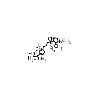 CCN1CCC(C(C)(C)CCCN2CC=C(C(C)(C)C)[C@@H]2C)C1C